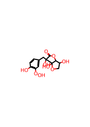 O=C1OC2C(O)COC2(O)C1(O)Cc1ccc(O)c(OO)c1